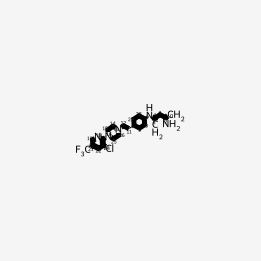 C=C(N)CC(=C)N[C@H]1CC[C@H](CCN2CCN(c3ncc(C(F)(F)F)cc3Cl)CC2)CC1